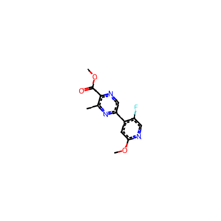 COC(=O)c1ncc(-c2cc(OC)ncc2F)nc1C